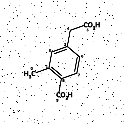 Cc1cc(CC(=O)O)ccc1C(=O)O